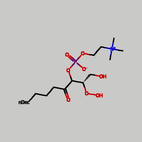 CCCCCCCCCCCCCC(=O)C(OP(=O)([O-])OCC[N+](C)(C)C)[C@H](CO)OO